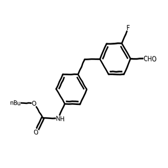 CCCCOC(=O)Nc1ccc(Cc2ccc(C=O)c(F)c2)cc1